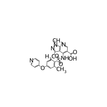 Cc1cc(Oc2ccncc2)ccc1S(=O)(=O)Nc1c(C(=O)O)cnc2c1c(C)nn2C